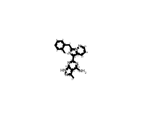 Cc1ccccc1Cc1nc(-c2nc(N)c3c(C)n[nH]c3n2)c2cccnn12